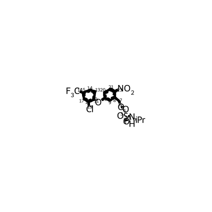 CC(C)NS(=O)(=O)OOCc1cc(Oc2ccc(C(F)(F)F)cc2Cl)ccc1[N+](=O)[O-]